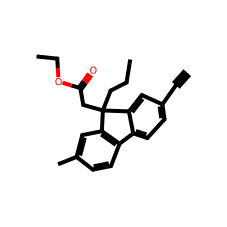 C#Cc1ccc2c(c1)C(CCC)(CC(=O)OCC)c1cc(C)ccc1-2